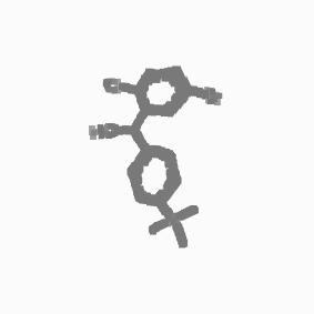 C[Si](C)(C)c1ccc(C(O)c2cc(Br)ccc2Cl)cc1